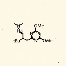 COc1cc(OC)nc(SC(/C=N/N(C)C)C(C)(C)C)n1